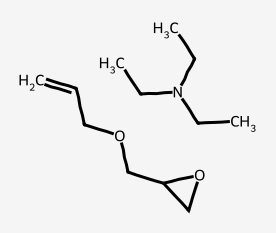 C=CCOCC1CO1.CCN(CC)CC